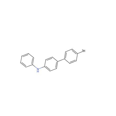 [3H]c1ccc(-c2ccc(Nc3ccccc3)cc2)cc1